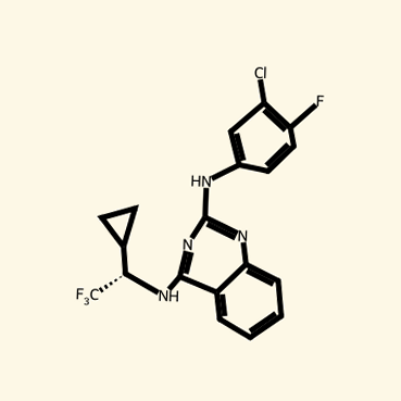 Fc1ccc(Nc2nc(N[C@@H](C3CC3)C(F)(F)F)c3ccccc3n2)cc1Cl